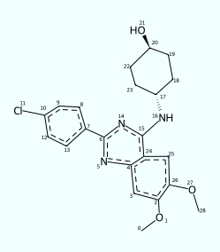 COc1cc2nc(-c3ccc(Cl)cc3)nc(N[C@H]3CC[C@H](O)CC3)c2cc1OC